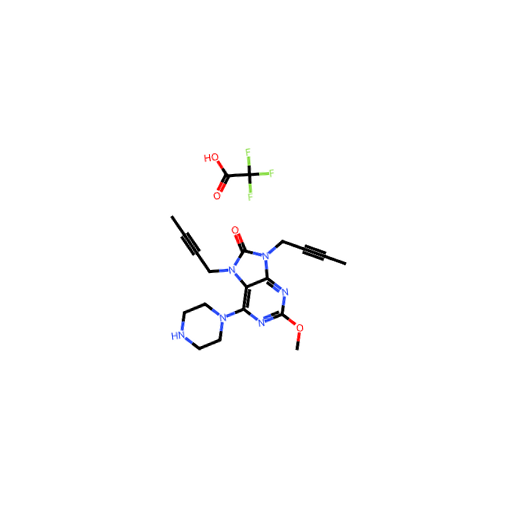 CC#CCn1c(=O)n(CC#CC)c2c(N3CCNCC3)nc(OC)nc21.O=C(O)C(F)(F)F